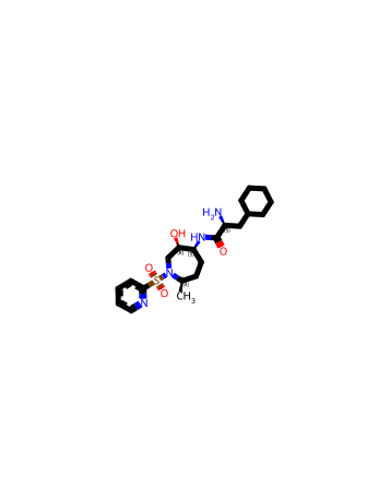 C[C@@H]1CC[C@H](NC(=O)[C@@H](N)CC2CCCCC2)[C@H](O)CN1S(=O)(=O)c1ccccn1